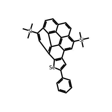 C[Si](C)(C)c1cc2c3cc(-c4ccccc4)[se]c3c3cc([Si](C)(C)C)c4ccc5ccc1c1c5c4c3c21